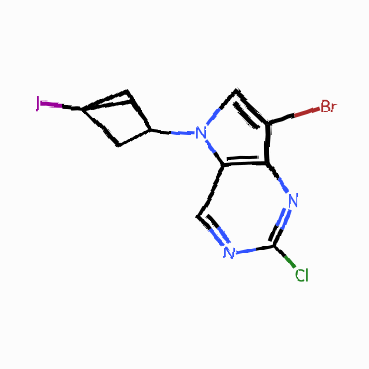 Clc1ncc2c(n1)c(Br)cn2C12CC(I)(C1)C2